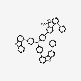 CC1(C)c2cc(-c3ccc(N(c4ccc(-c5cccc6oc7ccccc7c56)cc4)c4ccc(-c5cccc6oc7ccc(-c8ccccc8)cc7c56)cc4)cc3)ccc2-c2c(-c3ccccc3)cccc21